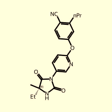 CCCc1cc(Oc2ccc(N3C(=O)N[C@](C)(CC)C3=O)cn2)ccc1C#N